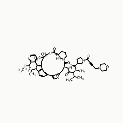 CCn1c(-c2cccnc2[C@H](C)OC)c2c3cc(ccc31)-c1csc(n1)C[C@H](NC(=O)[C@H](C(C)C)N(C)C(=O)[C@H]1CCN(C(=O)C#CCN3CCOCC3)C1)C(=O)N1CCC[C@H](N1)C(=O)OCC(C)(C)C2